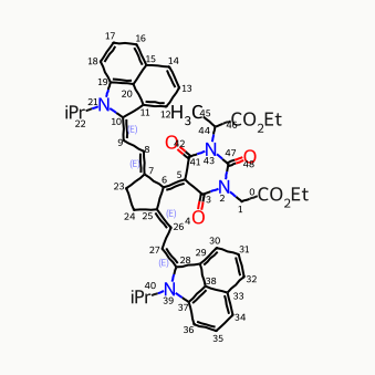 CCOC(=O)CN1C(=O)C(=C2/C(=C/C=c3\c4cccc5cccc(c54)n3C(C)C)CC/C2=C\C=c2/c3cccc4cccc(c43)n2C(C)C)C(=O)N(C(C)C(=O)OCC)C1=O